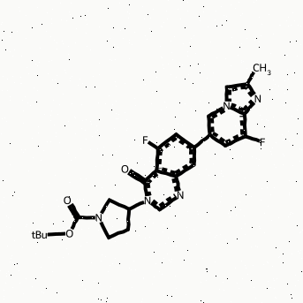 Cc1cn2cc(-c3cc(F)c4c(=O)n(C5CCN(C(=O)OC(C)(C)C)C5)cnc4c3)cc(F)c2n1